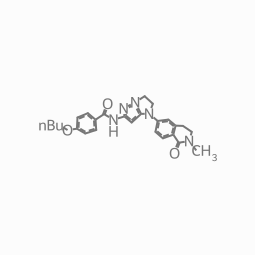 CCCCOc1ccc(C(=O)Nc2cc3n(n2)CCN3c2ccc3c(c2)CCN(C)C3=O)cc1